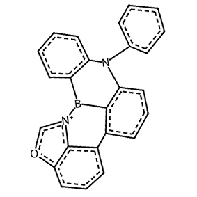 c1ccc(N2c3ccccc3B3c4c(cccc42)-c2cccc4oc[n+]3c24)cc1